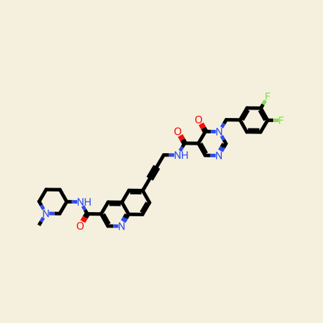 CN1CCCC(NC(=O)c2cnc3ccc(C#CCNC(=O)c4cncn(Cc5ccc(F)c(F)c5)c4=O)cc3c2)C1